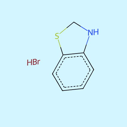 Br.c1ccc2c(c1)NCS2